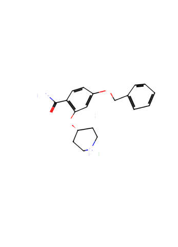 Cl.NC(=O)c1ccc(OCc2ccccc2)cc1O[C@@H]1CCNC[C@H]1F